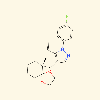 C=Cc1c(C[C@@]2(C)CCCCC23OCCO3)cnn1-c1ccc(F)cc1